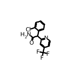 NC(=O)C(c1cc(C(F)(F)F)ccn1)c1ccccc1Cl